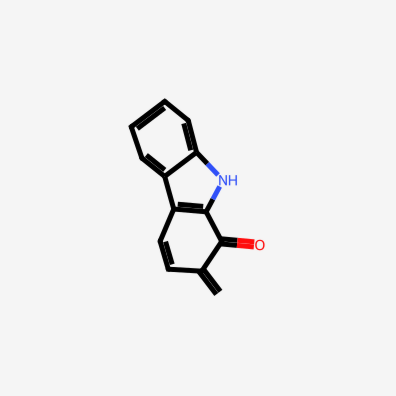 C=C1C=Cc2c([nH]c3ccccc23)C1=O